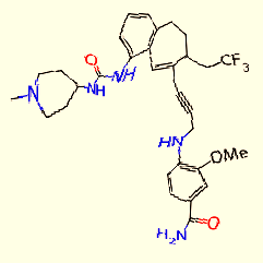 COc1cc(C(N)=O)ccc1NCC#CC1=Cc2c(cccc2NC(=O)NC2CCN(C)CC2)CCC1CC(F)(F)F